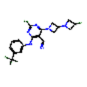 N=Cc1c(Nc2cccc(C(F)(F)F)c2)nc(Cl)nc1N1CC(N2CC(F)C2)C1